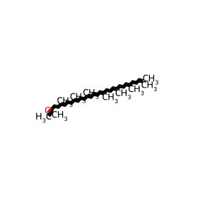 CC(C)=CCC/C(C)=C/CC/C(C)=C/CC/C(C)=C/C=C/C=C(\C)CC/C=C(\C)CC/C=C(\C)CCC1OC1(C)C